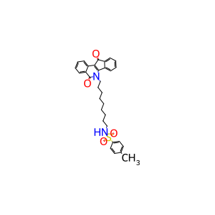 Cc1ccc(S(=O)(=O)NCCCCCCCCCn2c3c(c4ccccc4c2=O)C(=O)c2ccccc2-3)cc1